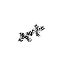 c1ccc(-c2cc(-c3ccccc3)c3sc4c(-c5cccc(-c6nnc(-c7cccc(-c8cc(-c9ccccc9)cc9c8sc8c(-c%10ccccc%10)cc(-c%10ccccc%10)cc89)c7)o6)c5)cc(-c5ccccc5)cc4c3c2)cc1